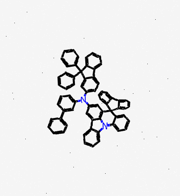 c1ccc(-c2cccc(N(c3ccc4c(c3)C(c3ccccc3)(c3ccccc3)c3ccccc3-4)c3cc4c5c(c3)c3ccccc3n5-c3ccccc3C43c4ccccc4-c4ccccc43)c2)cc1